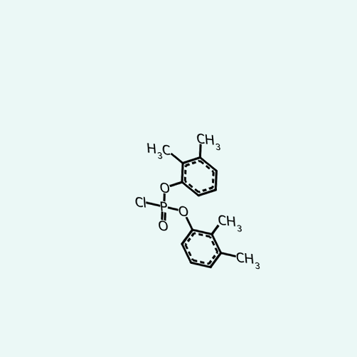 Cc1cccc(OP(=O)(Cl)Oc2cccc(C)c2C)c1C